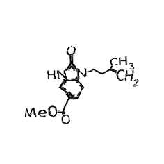 C=C(C)CCn1c(=O)[nH]c2cc(C(=O)OC)ccc21